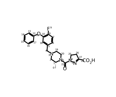 C[C@@H]1CN(Cc2ccc(F)c(Oc3ccccc3)c2)CCN1C(=O)N1CCC(C(=O)O)=N1